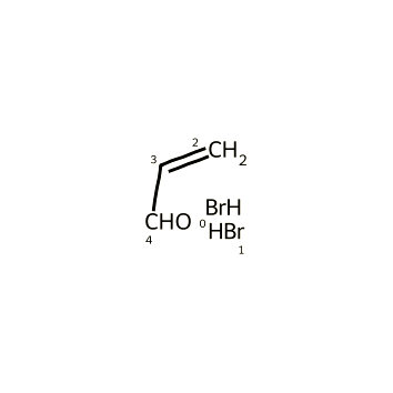 Br.Br.C=CC=O